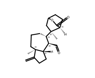 C=C1CC[C@H]2[C@H](C=O)[C@@H]([C@@]3(C)CC4CC[C@@H]3C(=O)O4)CCC[C@]12C